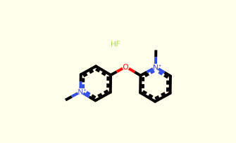 C[n+]1ccc(Oc2cccc[n+]2C)cc1.F